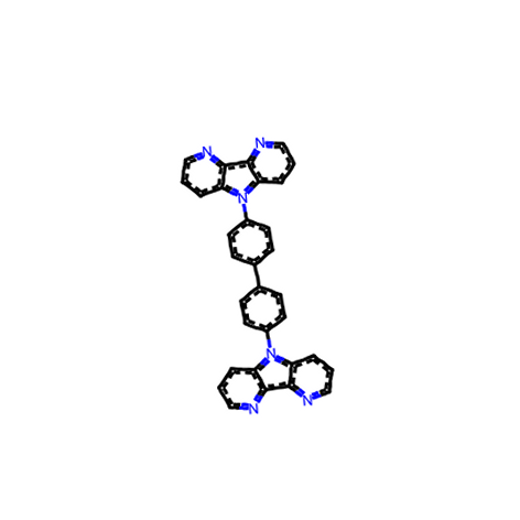 c1cnc2c3ncccc3n(-c3ccc(-c4ccc(-n5c6cccnc6c6ncccc65)cc4)cc3)c2c1